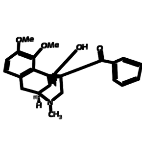 COc1ccc2c(c1OC)C13CCN(C)[C@@H](C2)C1C/C=N\N(C(=O)c1ccccc1)C(O)C3